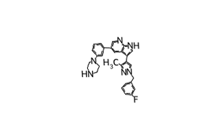 Cc1nn(Cc2cccc(F)c2)cc1-c1c[nH]c2ncc(-c3cccc(N4CCNCC4)c3)cc12